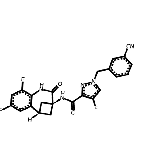 N#Cc1cccc(Cn2cc(F)c(C(=O)N[C@]34C[C@H](C3)c3cc(F)cc(F)c3NC4=O)n2)c1